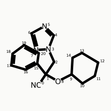 N#CC(Cn1cncn1)(OC1CCCCC1)c1ccccc1